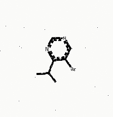 CC(C)c1ncn[c]c1Br